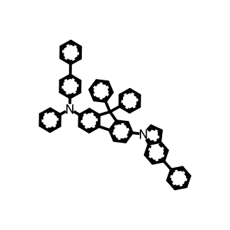 c1ccc(-c2ccc(N(c3ccccc3)c3ccc4c(c3)C(c3ccccc3)(c3ccccc3)c3cc(-n5ccc6cc(-c7ccccc7)ccc65)ccc3-4)cc2)cc1